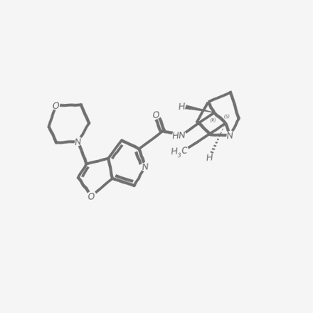 C[C@H]1[C@H](NC(=O)c2cc3c(N4CCOCC4)coc3cn2)C2CCN1CC2